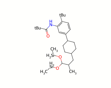 C[SiH2]OC(O[SiH2]C)C(C)CC1CCC(c2ccc(C(C)(C)C)c(NC(=O)C(C)(C)C)c2)CC1